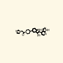 CC(C)c1c(-c2ccnc3[nH]ncc23)[nH]c2ccc(C3CCN(C(=O)Cn4ccnc4)CC3)cc12